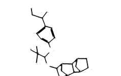 CCC(C)c1ccc(OC(OC2CC3CC2C2C4CCC(C4)C32)C(C)(C)C)cc1